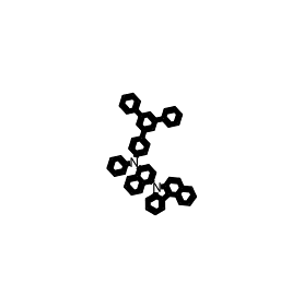 c1ccc(-c2cc(-c3ccccc3)cc(-c3ccc(N(c4ccccc4)c4ccc(-n5c6ccccc6c6c7ccccc7ccc65)c5ccccc45)cc3)c2)cc1